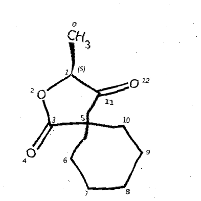 C[C@@H]1OC(=O)C2(CCCCC2)C1=O